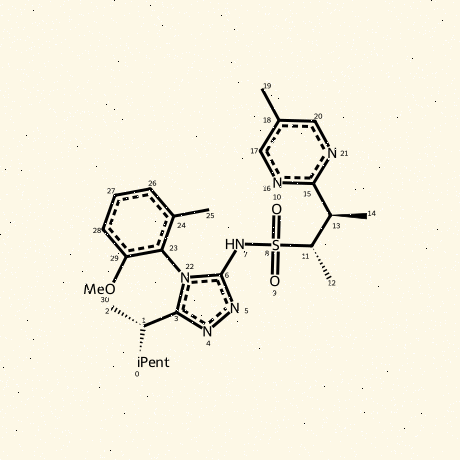 CCC[C@@H](C)[C@H](C)c1nnc(NS(=O)(=O)[C@@H](C)[C@H](C)c2ncc(C)cn2)n1-c1c(C)cccc1OC